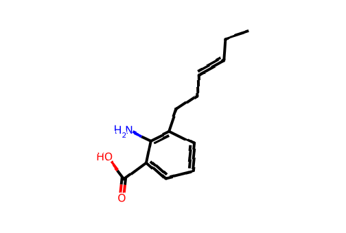 CCC=CCCc1cccc(C(=O)O)c1N